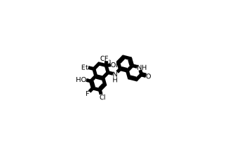 CCC1CC(O)(C(F)(F)F)C(Nc2cccc3[nH]c(=O)ccc23)c2cc(Cl)c(F)c(O)c21